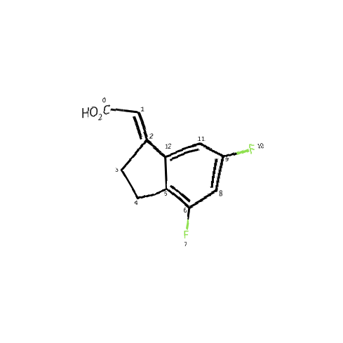 O=C(O)/C=C1\CCc2c(F)cc(F)cc21